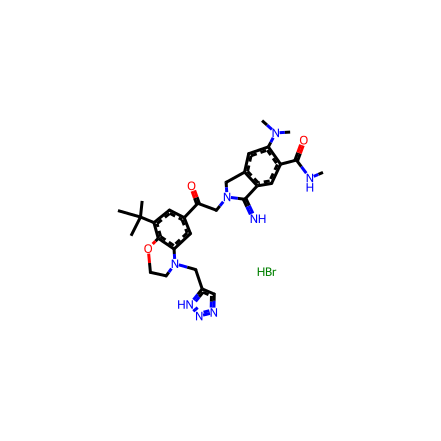 Br.CNC(=O)c1cc2c(cc1N(C)C)CN(CC(=O)c1cc3c(c(C(C)(C)C)c1)OCCN3Cc1cnn[nH]1)C2=N